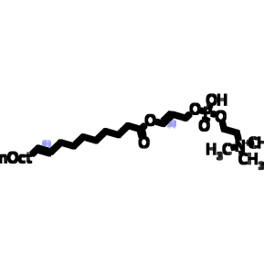 CCCCCCCC/C=C/CCCCCCCC(=O)O/C=C/COP(=O)(O)OCC[N+](C)(C)C